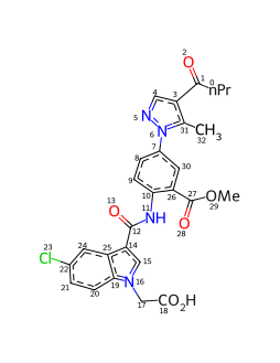 CCCC(=O)c1cnn(-c2ccc(NC(=O)c3cn(CC(=O)O)c4ccc(Cl)cc34)c(C(=O)OC)c2)c1C